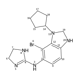 Brc1c(NC2=NCCN2)ccc2c1N(C1CCCC1)CN2